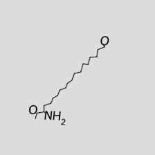 CC(=O)C(N)CCCCCCCCCCCCCCCC=O